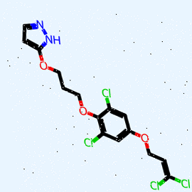 ClC(Cl)=CCOc1cc(Cl)c(OCCCOc2ccn[nH]2)c(Cl)c1